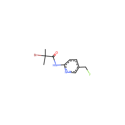 CC(C)(Br)C(=O)Nc1ccc(CF)cn1